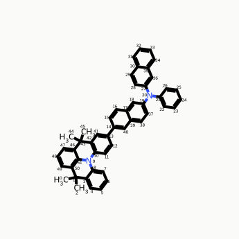 CC1(C)c2ccccc2N2c3ccc(-c4ccc5cc(N(c6ccccc6)c6ccc7ccccc7c6)ccc5c4)cc3C(C)(C)c3cccc1c32